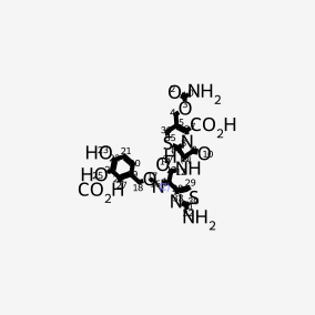 NC(=O)OCC1=C(C(=O)O)N2C(=O)[C@@H](NC(=O)/C(=N\OCc3ccc(O)c(O)c3C(=O)O)c3csc(N)n3)[C@H]2SC1